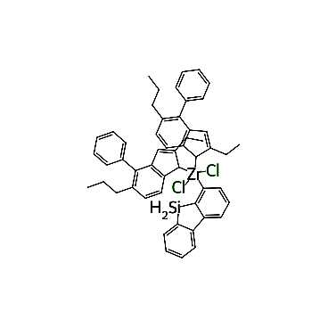 CCCc1ccc2c(c1-c1ccccc1)C=C(CC)[CH]2[Zr]([Cl])([Cl])([c]1cccc2c1[SiH2]c1ccccc1-2)[CH]1C(CC)=Cc2c1ccc(CCC)c2-c1ccccc1